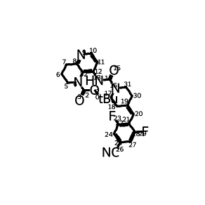 CC(C)(C)OC(=O)N1CCCc2nccc(NC(=O)N3CCC(=Cc4c(F)cc(C#N)cc4F)CC3)c21